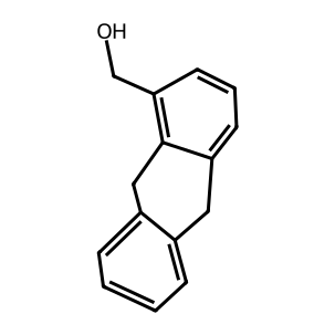 OCc1cccc2c1Cc1ccccc1C2